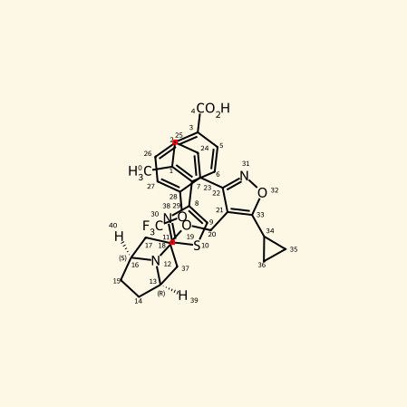 Cc1cc(C(=O)O)ccc1-c1csc(N2[C@@H]3CC[C@H]2CC(OCc2c(-c4ccccc4OC(F)(F)F)noc2C2CC2)C3)n1